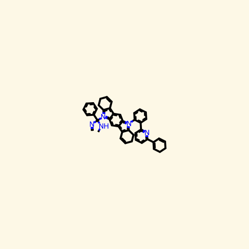 C=NC(NC)(c1ccccc1)n1c2c(c3cc4c(cc31)c1c(n4-c3ccccc3-c3cccc(C4=CCCC=C4)n3)CCC=C1)C=CCC2